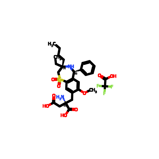 CCCC[C@]1(CC)CS(=O)(=O)c2cc(C[C@](N)(CC(=O)O)C(=O)O)c(OC)cc2[C@@H](c2ccccc2)N1.O=C(O)C(F)(F)F